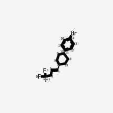 FC(F)(F)C/C=C/[C@H]1CC[C@H](c2ccc(Br)cc2)CC1